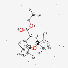 C=C(C)COC(=O)C1C[Si](C(C)C)(C(C)C)O[Si](C(C)C)(C(C)C)C1